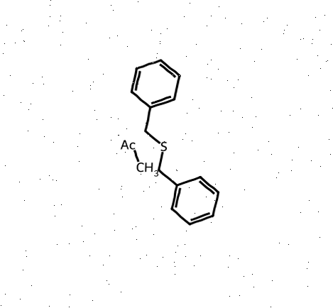 CC(C)=O.c1ccc(CSCc2ccccc2)cc1